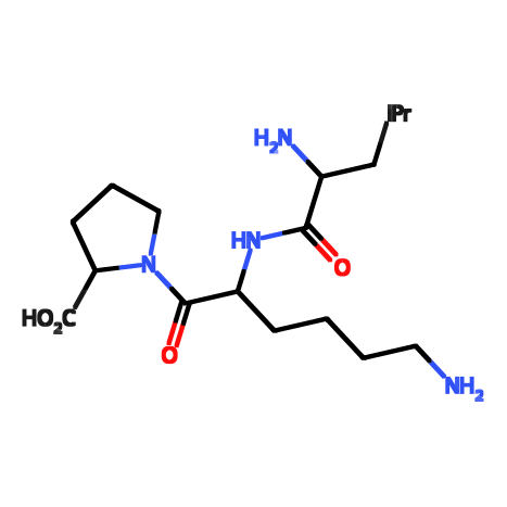 CC(C)CC(N)C(=O)NC(CCCCN)C(=O)N1CCCC1C(=O)O